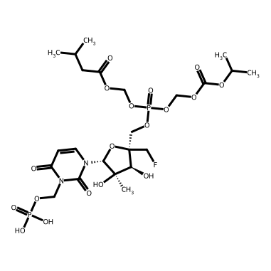 CC(C)CC(=O)OCOP(=O)(OCOC(=O)OC(C)C)OC[C@@]1(CF)O[C@@H](n2ccc(=O)n(COP(=O)(O)O)c2=O)[C@](C)(O)[C@@H]1O